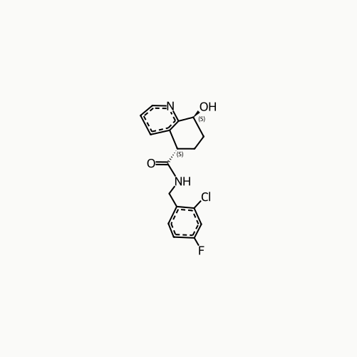 O=C(NCc1ccc(F)cc1Cl)[C@H]1CC[C@H](O)c2ncccc21